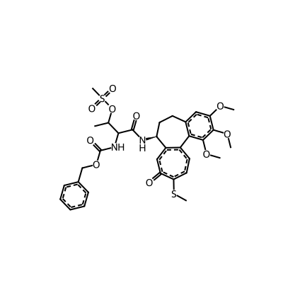 COc1cc2c(c(OC)c1OC)-c1ccc(SC)c(=O)cc1[C@@H](NC(=O)C(NC(=O)OCc1ccccc1)C(C)OS(C)(=O)=O)CC2